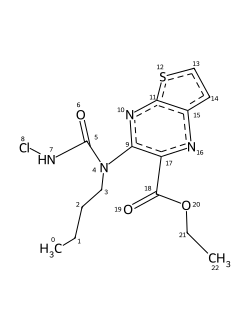 CCCCN(C(=O)NCl)c1nc2sccc2nc1C(=O)OCC